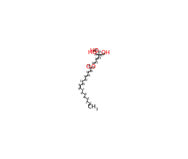 CCCCCCCC/C=C\CCCCCCCC(=O)OCCCCC(CO)(CO)CO